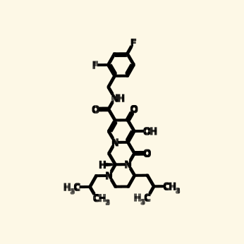 CC(C)CC1CCN(CC(C)C)[C@@H]2Cn3cc(C(=O)NCc4ccc(F)cc4F)c(=O)c(O)c3C(=O)N12